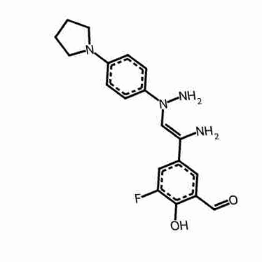 N/C(=C\N(N)c1ccc(N2CCCC2)cc1)c1cc(F)c(O)c(C=O)c1